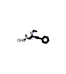 C/C=N\C(C#Cc1ccccc1)=C/N(C)C=O